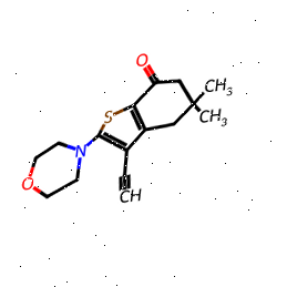 C#Cc1c(N2CCOCC2)sc2c1CC(C)(C)CC2=O